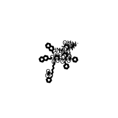 C[C@@H]1O[C@@H](O[C@@H]2[C@@H](N=[N+]=N)[C@@H](O[C@@H]3[C@H](OCc4ccc5ccccc5c4)[C@@H](OCc4ccc5ccccc5c4)[C@@H](OCCCCCN(Cc4ccccc4)C(=O)[O-])O[C@@H]3COCc3ccccc3)O[C@@H]3CO[C@H](c4ccccc4)O[C@H]23)[C@@H](N=[N+]=[N-])[C@H](O)[C@@H]1O